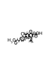 CC(=O)CCN1CCN(c2nc3c(cc2Cl)c(=O)c(OC(=O)O)cn3C2CC2)CC1